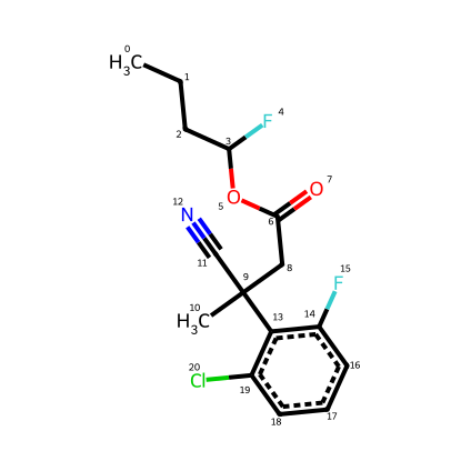 CCCC(F)OC(=O)CC(C)(C#N)c1c(F)cccc1Cl